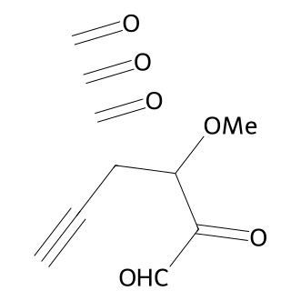 C#CCC(OC)C(=O)C=O.C=O.C=O.C=O